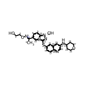 C/C(=N\OCCO)c1ccc2nnc(Sc3ccc4ncc(NC5CCOCC5)cc4c3)n2c1.Cl